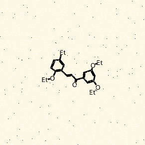 CCOc1cc(OCC)cc(C(=O)C=Cc2cc(CC)ccc2OCC)c1